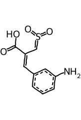 Nc1cccc(C=C(C=S(=O)=O)C(=O)O)c1